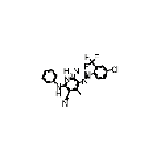 Cc1c(C#N)c(Nc2ccccc2)nc(N)c1/N=N/c1ccc(Cl)cc1C(F)(F)F